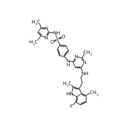 Cc1cc(C)nc(NS(=O)(=O)c2ccc(Nc3cc(NCCc4c(C)[nH]c5c(F)ccc(C)c45)nc(C)n3)cc2)n1